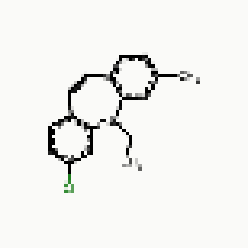 CC[SiH]1c2cc(C)ccc2C=Cc2ccc(Cl)cc21